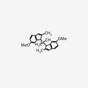 COc1ccc2c(c1)C([Si](C)(C)C1C(C)=Cc3ccc(OC)cc31)C(C)=C2